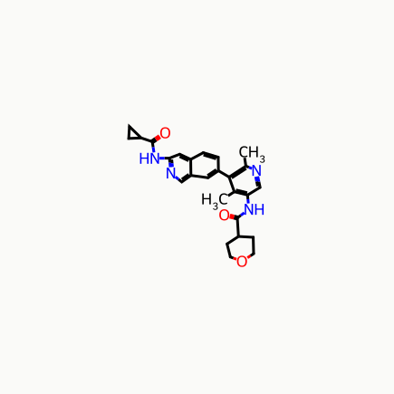 Cc1ncc(NC(=O)C2CCOCC2)c(C)c1-c1ccc2cc(NC(=O)C3CC3)ncc2c1